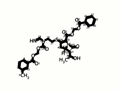 Cc1cccc(C(=O)OCOC(=O)N(C=N)CCSC2=C(C(=O)OCOC(=O)c3ccccc3)N3C(=O)[C@H]([C@@H](C)O)[C@H]3C2)c1